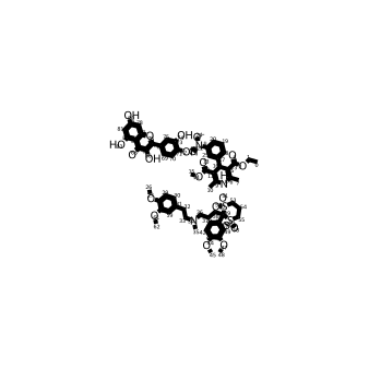 CCOC(=O)C1=C(C)NC(C)=C(C(=O)OC)C1c1cccc([N+](=O)[O-])c1.COc1ccc(CCN(C)CCCC2(c3ccc(OC)c(OC)c3)S(=O)(=O)CCCS2(=O)=O)cc1OC.O=c1c(O)c(-c2ccc(O)c(O)c2)oc2cc(O)cc(O)c12